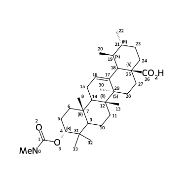 CNC(=O)O[C@@H]1CC[C@@]2(C)C(CC[C@]3(C)C2CC=C2C4[C@@H](C)[C@H](C)CC[C@]4(C(=O)O)CC[C@]23C)C1(C)C